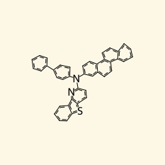 c1ccc(-c2ccc(N(c3ccc4c(ccc5c6ccccc6ccc45)c3)c3ccc4sc5ccccc5c4n3)cc2)cc1